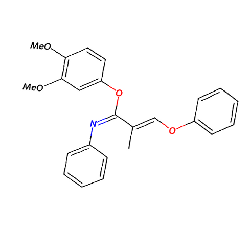 COc1ccc(OC(=Nc2ccccc2)C(C)=COc2ccccc2)cc1OC